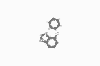 Clc1cccc2[nH]nnc12.c1ccccc1